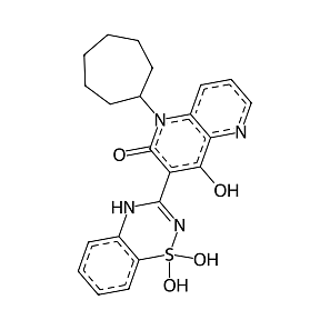 O=c1c(C2=NS(O)(O)c3ccccc3N2)c(O)c2ncccc2n1C1CCCCCC1